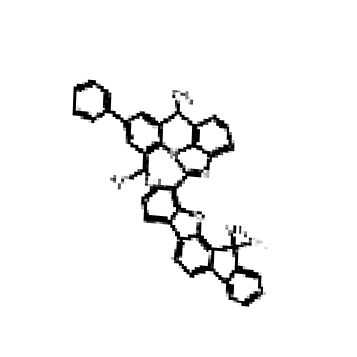 CC(C)c1cc(-c2ccccc2)cc2c1-n1c(-c3cccc4c3oc3c5c(ccc34)-c3ccccc3C5(C)C)nc3cccc(c31)C2C